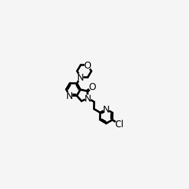 O=C1c2c(N3CCOCC3)ccnc2CN1CCc1ccc(Cl)cn1